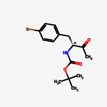 CC(=O)[C@@H](Cc1ccc(Br)cc1)NC(=O)OC(C)(C)C